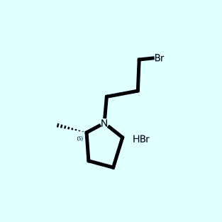 Br.C[C@H]1CCCN1CCCBr